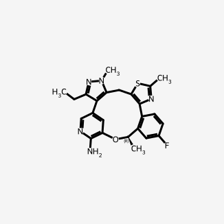 CCc1nn(C)c2c1-c1cnc(N)c(c1)O[C@H](C)c1cc(F)ccc1-c1nc(C)sc1C2